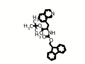 CC(C)(C)OC(=O)C(Cc1cccc2ccncc12)NC(=O)OCC1c2ccccc2-c2ccccc21